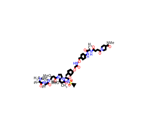 CC[C@H](C)[C@@H]([C@@H](CC(=O)N1CCC[C@H]1[C@H](OC)[C@@H](C)C(=O)N[C@@H](Cc1ccc(OCC(=O)NOCc2ccc(NC(=O)[C@H](C)NC(=O)CCC(=O)N3CCC(C(=O)NC)CC3)cc2)cc1)C(=O)NS(=O)(=O)C1CC1)OC)N(C)C(=O)[C@@H](NC(=O)[C@H](C(C)C)N(C)C)C(C)C